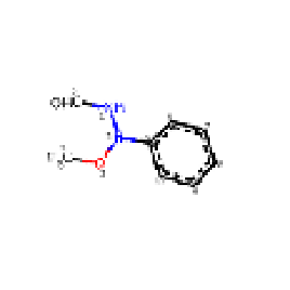 O=CNN(OC(F)(F)F)c1ccccc1